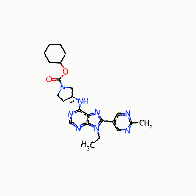 CCn1c(-c2cnc(C)nc2)nc2c(N[C@H]3CCN(C(=O)OC4CCCCC4)C3)ncnc21